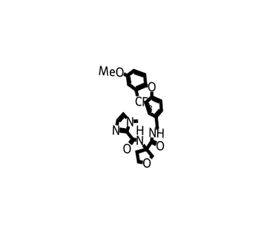 COc1ccc(Oc2ccc(CNC(=O)C3(NC(=O)c4nccn4C)CCOC3)cc2)c(C(F)(F)F)c1